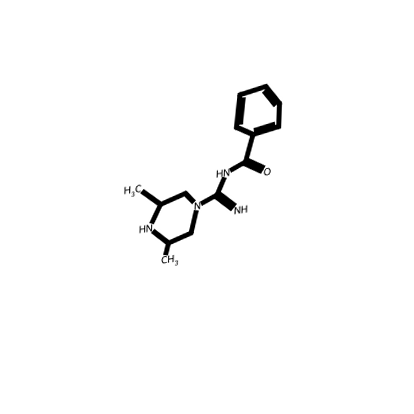 CC1CN(C(=N)NC(=O)c2ccccc2)CC(C)N1